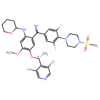 COc1cc(NC2CCCCO2)c(C(=N)c2cc(F)c(N3CCN(S(C)(=O)=O)CC3)c(F)c2)cc1O[C@H](C)c1c(Cl)cncc1Cl